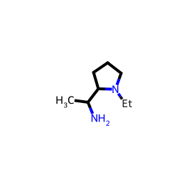 CCN1CCCC1C(C)N